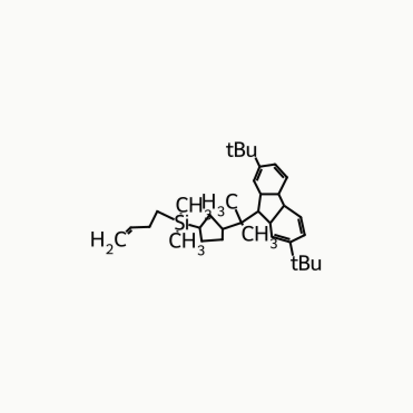 C=CCC[Si](C)(C)C1CCC(C(C)(C)C2C3C=C(C(C)(C)C)C=CC3C3C=CC(C(C)(C)C)=CC32)C1